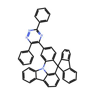 c1ccc(-c2nnc(-c3ccccc3)c(-c3ccc4c(c3)-n3c5ccccc5c5cccc(c53)C43c4ccccc4-c4ccccc43)n2)cc1